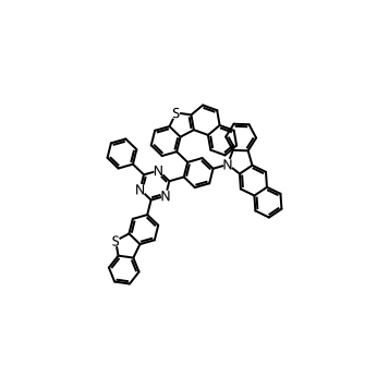 c1ccc(-c2nc(-c3ccc4c(c3)sc3ccccc34)nc(-c3ccc(-n4c5ccccc5c5cc6ccccc6cc54)cc3-c3cccc4sc5ccc6ccccc6c5c34)n2)cc1